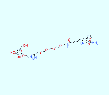 CC(C)(CC(N)CCCCC(=O)NCCOCCOCCOCCOCc1cn(CCO[C@@H]2O[C@H](CO)C[C@H](O)[C@H]2O)nn1)OC(N)=O